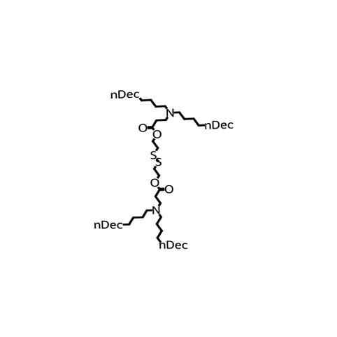 CCCCCCCCCCCCCCN(CCCCCCCCCCCCCC)CCC(=O)OCCSSCCOC(=O)CCN(CCCCCCCCCCCCCC)CCCCCCCCCCCCCC